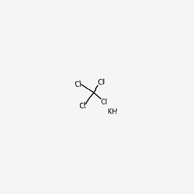 ClC(Cl)(Cl)Cl.[KH]